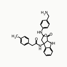 Cc1ccc(CC(=O)NC2(CC(=O)Nc3ccc(CN)cc3)c3ccccc3NC2C=O)cc1